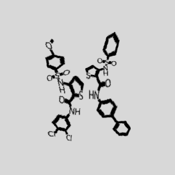 COc1ccc(S(=O)(=O)Nc2ccsc2C(=O)Nc2ccc(Cl)c(Cl)c2)cc1.O=C(Nc1ccc(-c2ccccc2)cc1)c1sccc1NS(=O)(=O)c1ccccc1